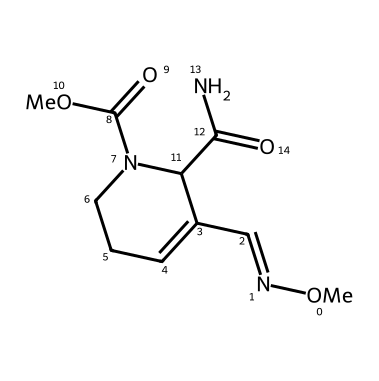 CON=CC1=CCCN(C(=O)OC)C1C(N)=O